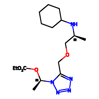 CCOC(=O)O[C@H](C)n1nnnc1COC[C@H](C)NC1CCCCC1